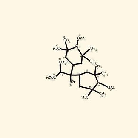 CCCC(C1CC(C)(C)N(OC(C)=O)C(C)(C)C1)(C1CC(C)(C)N(OC(C)=O)C(C)(C)C1)C(C(=O)O)C(=O)O